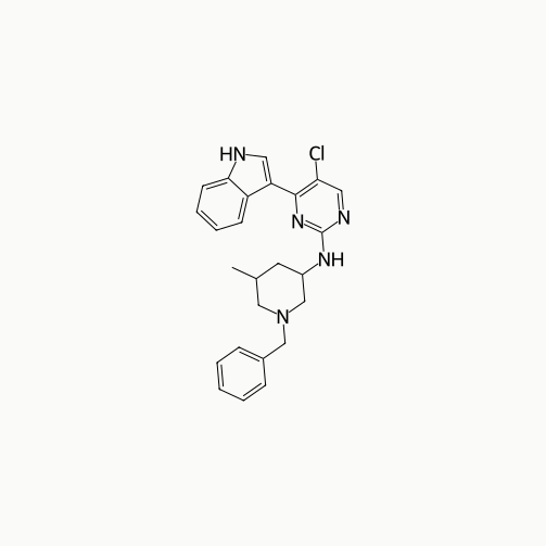 CC1CC(Nc2ncc(Cl)c(-c3c[nH]c4ccccc34)n2)CN(Cc2ccccc2)C1